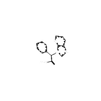 CNC(=O)C(c1ccccc1)n1cnc2cccnc21